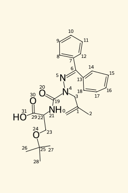 C=C(C)CN(N=C(c1ccccc1)c1ccccc1)C(=O)NC(COC(C)(C)C)C(=O)O